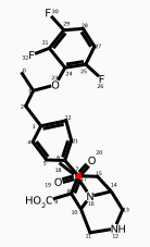 CC(Cc1ccc(C2=C(C(=O)O)C3CNCC(C2)N3S(C)(=O)=O)cc1)Oc1c(F)ccc(F)c1F